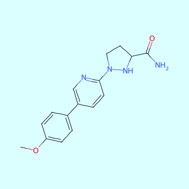 COc1ccc(-c2ccc(N3CCC(C(N)=O)N3)nc2)cc1